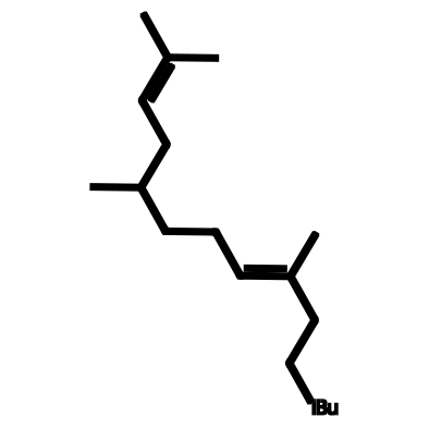 CCC(C)CCC(C)=CCCC(C)CC=C(C)C